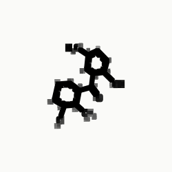 Cc1ccc(O)c(C(=O)c2cccc(Cl)c2C)c1